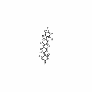 Cc1cc(C)c(-c2[c]c3c(cc2)-c2ccc(-c4c(C)cc(C)cc4C)cc2C3)c(C)c1